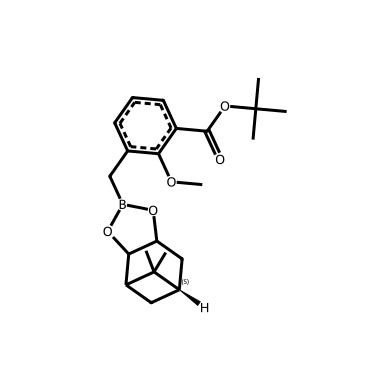 COc1c(CB2OC3C[C@@H]4CC(C3O2)C4(C)C)cccc1C(=O)OC(C)(C)C